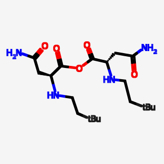 CC(C)(C)CCN[C@@H](CC(N)=O)C(=O)OC(=O)[C@H](CC(N)=O)NCCC(C)(C)C